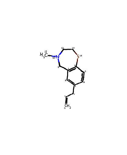 C=CCc1ccc2c(c1)CN(C)CCS2